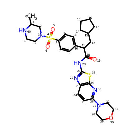 CC1CN(S(=O)(=O)c2ccc(C(CC3CCCC3)C(=O)Nc3nc4ccc(N5CCOCC5)nc4s3)cc2)CCN1